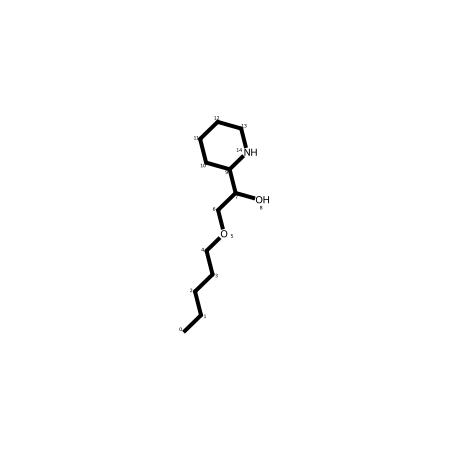 CCCCCOCC(O)C1CCCCN1